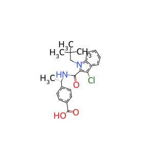 C[C@H](NC(=O)c1c(Cl)c2ccccc2n1CC(C)(C)C)c1ccc(C(=O)O)cc1